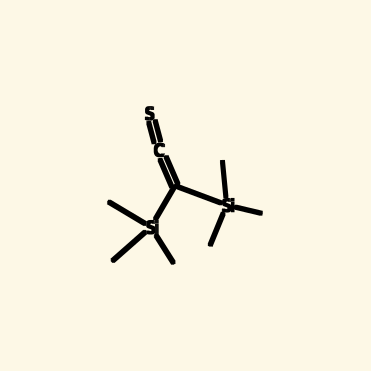 C[Si](C)(C)C(=C=S)[Si](C)(C)C